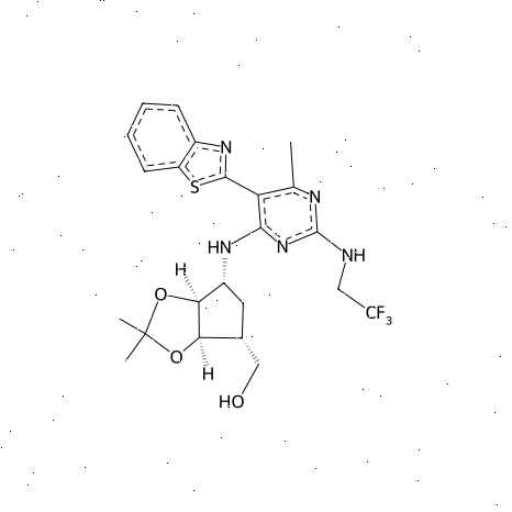 Cc1nc(NCC(F)(F)F)nc(N[C@@H]2C[C@H](CO)[C@H]3OC(C)(C)O[C@H]32)c1-c1nc2ccccc2s1